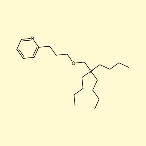 CCC[CH2][Sn]([CH2]CCC)([CH2]CCC)[CH2]OCCCc1ccccn1